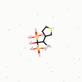 CC(C1CCSC1)C(O)(P(=O)(O)O)P(=O)(O)O